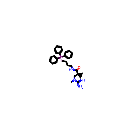 CN(CC1(C(=O)NCCCC[PH](c2ccccc2)(c2ccccc2)c2ccccc2)CC1)C(=N)N